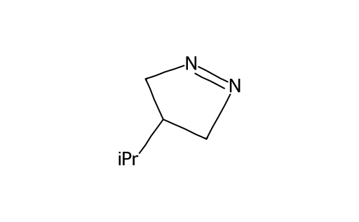 CC(C)C1CN=NC1